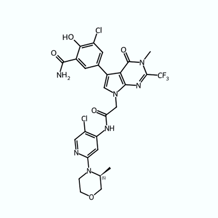 C[C@H]1COCCN1c1cc(NC(=O)Cn2cc(-c3cc(Cl)c(O)c(C(N)=O)c3)c3c(=O)n(C)c(C(F)(F)F)nc32)c(Cl)cn1